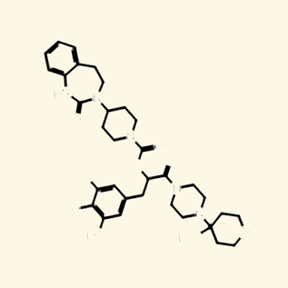 Cc1cc(CC(OC(=O)N2CCC(N3CCc4ccccc4NC3=O)CC2)C(=O)N2CCN(C3(C)CCOCC3)CC2)cc(C)c1O